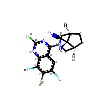 N#C[C@@H]1[C@@H]2CC[C@H]1CN(c1nc(Cl)nc3c(F)c(Br)c(F)cc13)C2